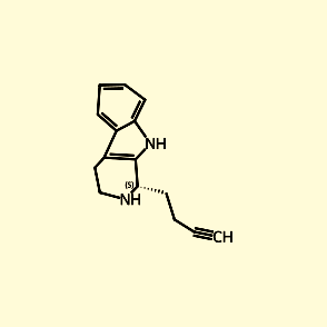 C#CCC[C@@H]1NCCc2c1[nH]c1ccccc21